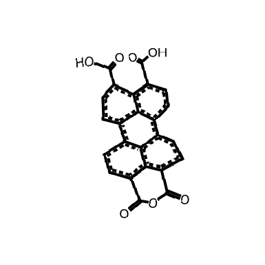 O=C(O)c1ccc2c3ccc4c5c(ccc(c6ccc(C(=O)O)c1c26)c53)C(=O)OC4=O